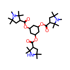 CN1C(C)(C)CC(C(=O)OC2CC(OC(=O)C3CC(C)(C)NC3(C)C)CC(OC(=O)C3CC(C)(C)N(C)C3(C)C)C2)C1(C)C